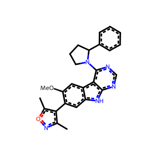 COc1cc2c(cc1-c1c(C)noc1C)[nH]c1ncnc(N3CCCC3c3ccccc3)c12